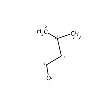 C[C](C)CC[O]